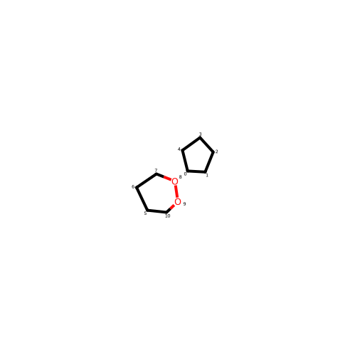 C1CCCC1.C1CCOOC1